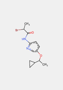 CC(Br)C(=O)Nc1ccc(OC(C)C2CC2)cn1